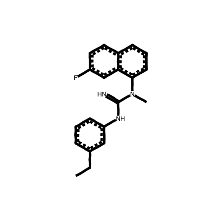 CCc1cccc(NC(=N)N(C)c2cccc3ccc(F)cc23)c1